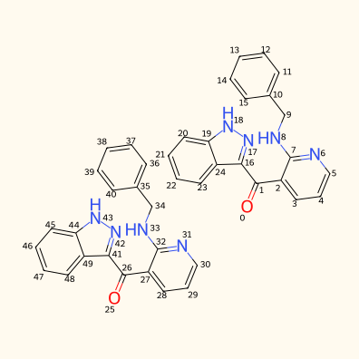 O=C(c1cccnc1NCc1ccccc1)c1n[nH]c2ccccc12.O=C(c1cccnc1NCc1ccccc1)c1n[nH]c2ccccc12